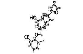 Cc1cccc(Cl)c1OCc1cc(O)n2nc(-c3ccco3)cc2n1